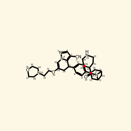 N#Cc1cnn2c1C(c1ccc(N3CC4CC(C3)N4C(=O)C3CCNCC3)nc1)CC(OCCN1CCOCC1)=C2